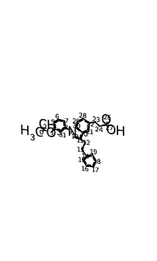 CC(C)Oc1cccc(-n2cc(CCc3ccccc3)c3cc(CCC(=O)O)ccc32)c1